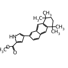 COC(=O)c1cc(-c2ccc3cc4c(cc3c2)C(C)(C)CCC4(C)C)c[nH]1